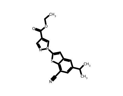 CCOC(=O)c1cnn(-c2cc3cc(C(C)C)cc(C#N)c3s2)c1